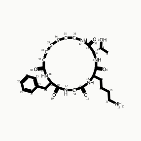 CC(O)[C@@H]1NC(=O)C(CCCCN)NC(=O)CNC(=O)C(Cc2ccccc2)NC(=O)CCSSCCNC1=O